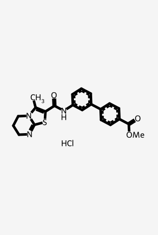 COC(=O)c1ccc(-c2cccc(NC(=O)C3=C(C)N4CCCN=C4S3)c2)cc1.Cl